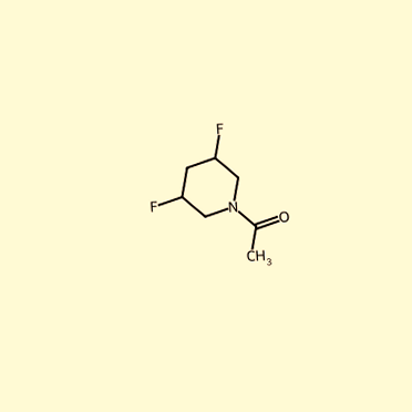 CC(=O)N1CC(F)CC(F)C1